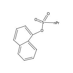 CCCS(=O)(=O)Oc1cccc2ccccc12